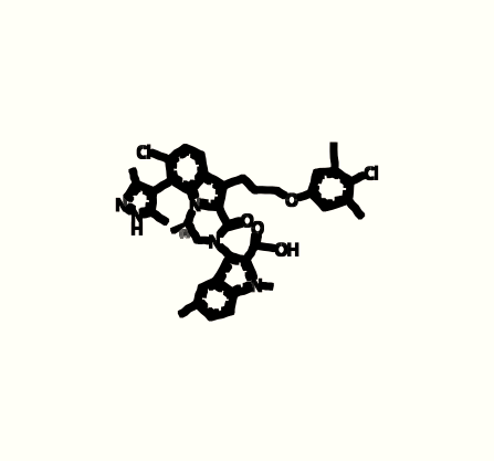 Cc1ccc2c(c1)c(N1C[C@@H](C)n3c(c(CCCOc4cc(C)c(Cl)c(C)c4)c4ccc(Cl)c(-c5c(C)n[nH]c5C)c43)C1=O)c(C(=O)O)n2C